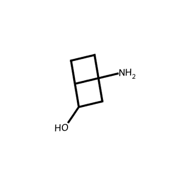 NC12CCC1C(O)C2